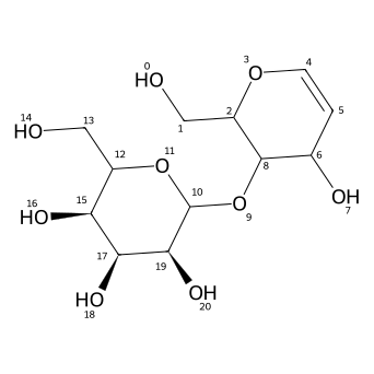 OCC1OC=CC(O)C1OC1OC(CO)[C@H](O)[C@H](O)[C@@H]1O